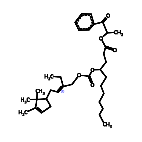 CCCCCCCC(CCC(=O)OC(C)C(=O)c1ccccc1)OC(=O)OC/C(=C/CC1CC=C(C)C1(C)C)CC